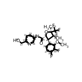 COc1c([C@H]2[C@H](C(=O)Nc3ccc(CO)nc3)O[C@@](C)(C(F)(F)F)[C@H]2C)ccc(F)c1F